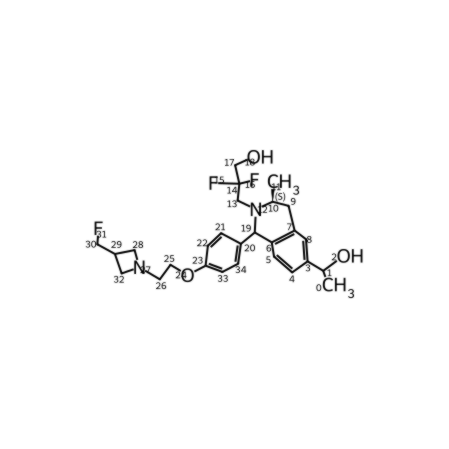 CC(O)c1ccc2c(c1)C[C@H](C)N(CC(F)(F)CO)C2c1ccc(OCCN2CC(CF)C2)cc1